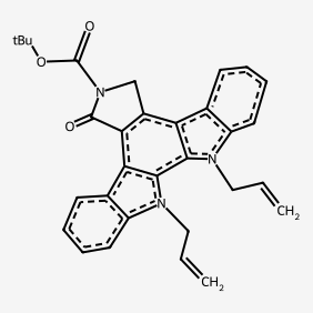 C=CCn1c2ccccc2c2c3c(c4c5ccccc5n(CC=C)c4c21)C(=O)N(C(=O)OC(C)(C)C)C3